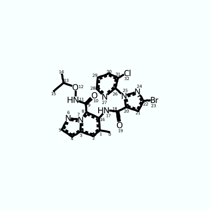 Cc1cc2ccnn2c(C(=O)NOC(C)C)c1NC(=O)c1cc(Br)nn1-c1ncccc1Cl